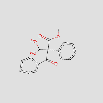 COC(=O)C(C(=O)c1ccccc1)(c1ccccc1)C(O)O